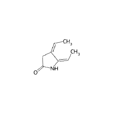 C/C=C1/CC(=O)N/C1=C/C